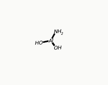 [NH2][Al]([OH])[OH]